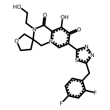 O=C1c2c(O)c(=O)c(-c3nnc(Cc4ccc(F)cc4F)s3)cn2CC2(CCOC2)N1CCO